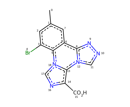 Cc1cc(Br)c2c(c1)c1nncn1c1c(C(=O)O)ncn21